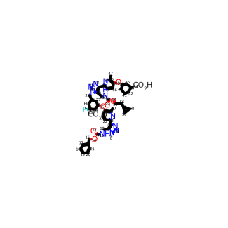 Cc1nc(-c2nnn(C)c2CNC(=O)OCc2ccccc2)ccc1OC1CC(Cn2nnc(-c3ccc(O[C@H]4CCC[C@H](C(=O)O)C4)c(C)n3)c2CNC(=O)OCCC2CC2)C[C@](F)(C(=O)O)C1